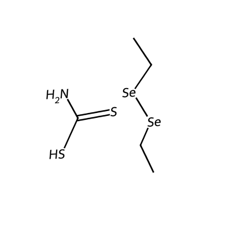 CC[Se][Se]CC.NC(=S)S